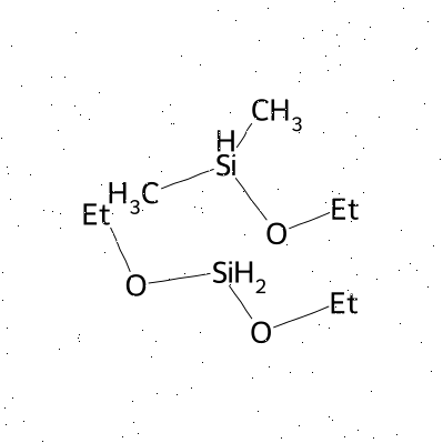 CCO[SiH2]OCC.CCO[SiH](C)C